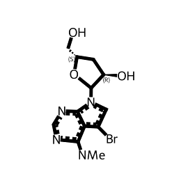 CNc1ncnc2c1c(Br)cn2C1O[C@H](CO)C[C@H]1O